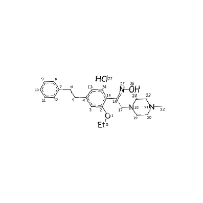 CCOc1cc(CCc2ccccc2)ccc1/C(CN1CCN(C)CC1)=N/O.Cl